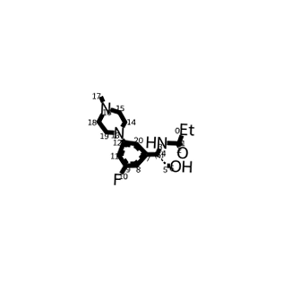 CCC(=O)N[C@H](CO)c1cc(F)cc(N2CCN(C)CC2)c1